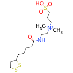 C[N+](C)(CCCS(=O)(=O)O)CCNC(=O)CCCCC1CCSS1